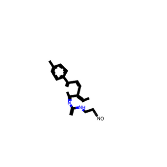 C=C(/N=C(/C)C(/C=C\C(=C)c1ccc(C)cc1)=C(C)C)NCCN=O